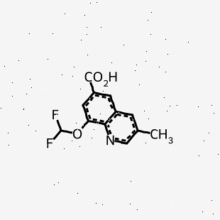 Cc1cnc2c(OC(F)F)cc(C(=O)O)cc2c1